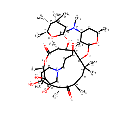 CC[C@H]1OC(=O)[C@H](C)[C@@H](O[C@H]2C[C@@](C)(OC)[C@@H](OC(C)=O)[C@H](C)O2)[C@H](C)[C@@H](O[C@@H]2O[C@H](C)C[C@H](N(C)C)[C@H]2OCCCN2CCC(O)CC2)[C@@](C)(OC)C[C@@H](C)C(=O)[C@H](C)[C@@H](O)[C@]1(C)O